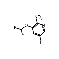 O=[N+]([O-])c1ncc(F)cc1OC(F)F